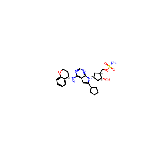 NS(=O)(=O)OC[C@@H]1C[C@@H](n2c(C3CCCC3)cc3c(N[C@H]4CCOc5ccccc54)ncnc32)C[C@@H]1O